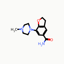 CN1CCN(c2cc(C(N)=O)cc3c2OCC3)CC1